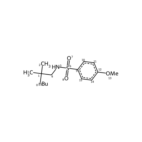 CCCCC(C)(C)CNS(=O)(=O)c1ccc(OC)cc1